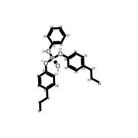 CCCc1ccc(OP(=O)(Oc2ccccc2)Oc2ccc(CCC)cc2)cc1